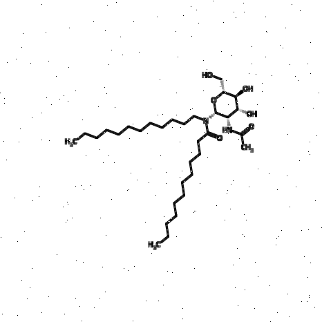 CCCCCCCCCCCCN(C(=O)CCCCCCCCCCC)[C@@H]1O[C@H](CO)[C@@H](O)[C@H](O)[C@@H]1NC(C)=O